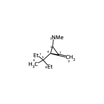 C=C1C(NC)C1C(C)(CC)CC